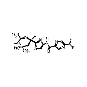 CN1C(N)=N[C@](C)(c2nc(NC(=O)c3cnc(C(F)F)cn3)cs2)CS1(O)O